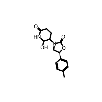 Cc1ccc([C@H]2CN(C3CCC(=O)NC3O)C(=O)O2)cc1